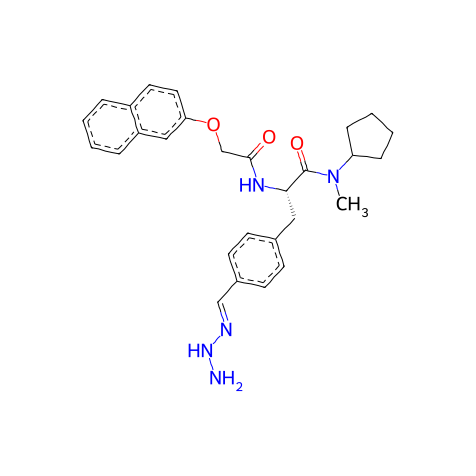 CN(C(=O)[C@H](Cc1ccc(C=NNN)cc1)NC(=O)COc1ccc2ccccc2c1)C1CCCC1